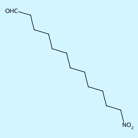 O=[C]CCCCCCCCCCC[N+](=O)[O-]